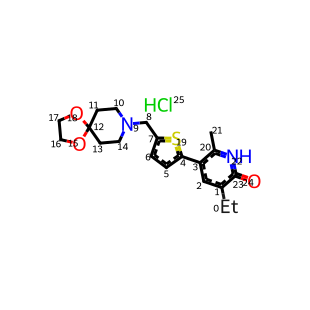 CCc1cc(-c2ccc(CN3CCC4(CC3)OCCO4)s2)c(C)[nH]c1=O.Cl